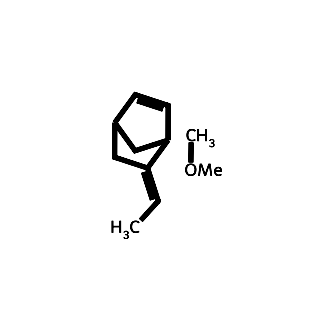 CC=C1CC2C=CC1C2.COC